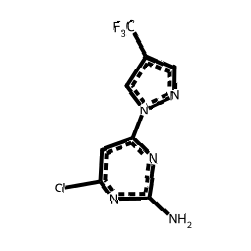 Nc1nc(Cl)cc(-n2cc(C(F)(F)F)cn2)n1